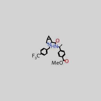 COC(=O)c1ccc([C@H](C)NC(=O)C2C3CC3CN2Cc2ccc(C(F)(F)F)cc2)cc1